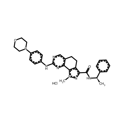 C[C@@H](NC(=O)c1nn(C)c2c1CCc1cnc(Nc3ccc(N4CCOCC4)cc3)nc1-2)c1ccccc1.Cl